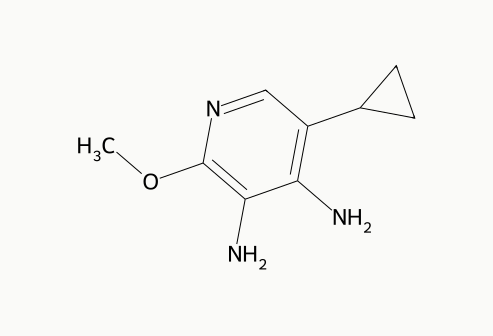 COc1ncc(C2CC2)c(N)c1N